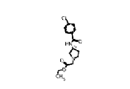 CCOC(=O)CN1CC[C@@H](NC(=O)c2ccc(Cl)cc2)C1